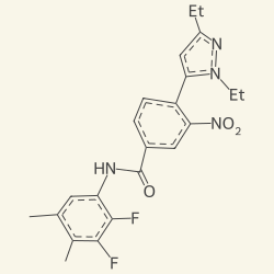 CCc1cc(-c2ccc(C(=O)Nc3cc(C)c(C)c(F)c3F)cc2[N+](=O)[O-])n(CC)n1